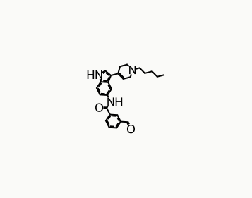 CCCCCN1CC=C(c2c[nH]c3ccc(NC(=O)c4cccc(C=O)c4)cc23)CC1